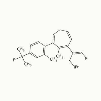 CC1=C(/C(=C/F)CC(C)C)C=CCC=C1c1ccc(C(C)(C)F)cc1C